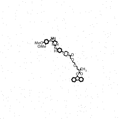 COc1ccc(-n2nnc3cnc(Nc4ccc(N5CCN(C(=O)COCCOCCN(C)C(=O)OC6c7ccccc7-c7ccccc76)CC5)cc4)nc32)cc1OC